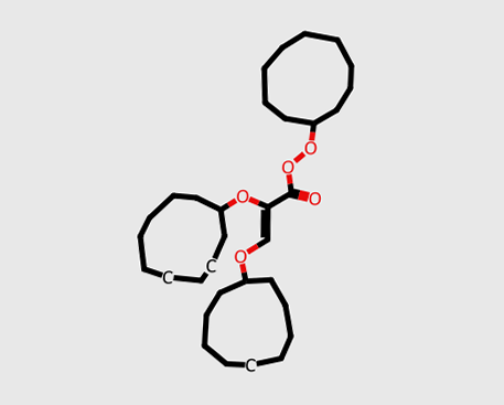 O=C(OOC1CCCCCCCCC1)C(=COC1CCCCCCCCC1)OC1CCCCCCCCC1